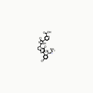 N/N=C\N(N)c1ccc(Cl)cc1-c1cc(=O)n2c(n1)CCC2c1nc(Cl)c(-c2ccnc(C(=O)O)c2)[nH]1